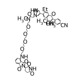 CCc1cc2c(cc1/C(C=N)=C/NCC(=O)N(C)CCOCCOCCOCCOCCNc1cccc3c1C(=O)N(C1CCC(=O)NC1=O)C3=O)C(C)(C)c1[nH]c3cc(C#N)ccc3c1C2=O